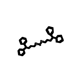 c1ccc(C(CC[CH2][Sn][S][Sn][CH2]CCC(c2ccccc2)c2ccccc2)c2ccccc2)cc1